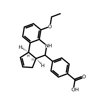 CCOc1cccc2c1NC(c1ccc(C(=O)O)cc1)[C@H]1CC=C[C@@H]21